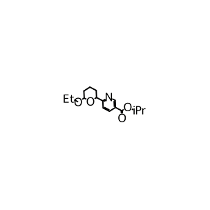 CCOC1CCCC(c2ccc(C(=O)OC(C)C)cn2)O1